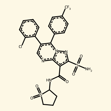 NS(=O)(=O)c1nn2c(-c3ccc(C(F)(F)F)cc3)c(-c3ccccc3Cl)cnc2c1C(=O)NC1CCCS1(=O)=O